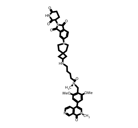 COc1cc(-c2cn(C)c(=O)c3cnccc23)cc(OC)c1CN(C)C(=O)CCCCNC1CC2(CCN(c3ccc4c(c3)C(=O)N(C3CCC(=O)NC3=O)C4=O)CC2)C1